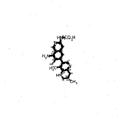 Cc1c(-c2cc3cc(NC(=O)O)ncc3c(N)c2F)cnc2c1NC[C@@H](C)C2